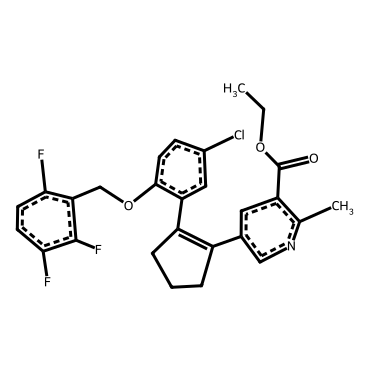 CCOC(=O)c1cc(C2=C(c3cc(Cl)ccc3OCc3c(F)ccc(F)c3F)CCC2)cnc1C